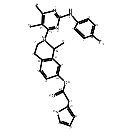 Cc1nc(Nc2ccc(F)cc2)nc(N2CCc3ccc(OC(=O)Cc4cccs4)cc3C2C)c1C